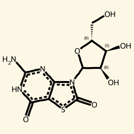 Nc1nc2c(sc(=O)n2C2O[C@H](CO)[C@@H](O)[C@H]2O)c(=O)[nH]1